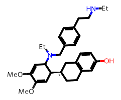 CCNCCc1ccc(CN(CC)C2C=C(OC)C(OC)=CC2[C@@H]2CCc3cc(O)ccc3C2)cc1